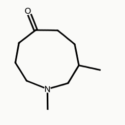 CC1CCC(=O)CCCN(C)C1